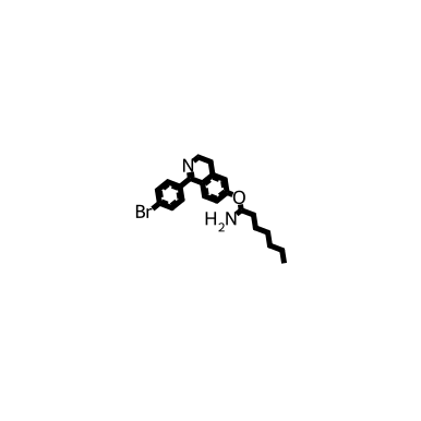 CCCCCCC(N)Oc1ccc2c(c1)CCN=C2c1ccc(Br)cc1